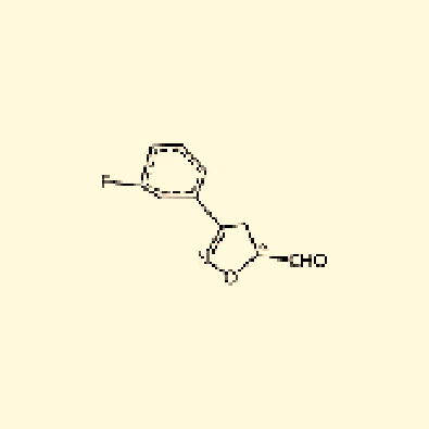 O=C[C@@H]1CC(c2cccc(F)c2)=NO1